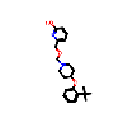 CC(C)(C)c1ccccc1OC1CCN(COCc2cccc(O)n2)CC1